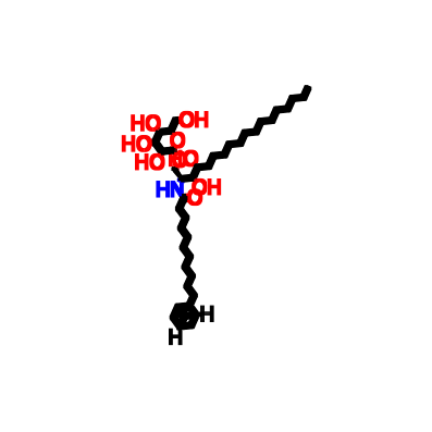 CCCCCCCCCCCCCC[C@@H](O)C(O)[C@H](COC1OC(CO)C(O)C(O)C1O)NC(=O)CCCCCCCCCCC1=CC[C@H]2C[C@@H]1C2(C)C